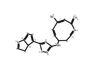 C=C1/C=C(C#N)\C=C/C(Nc2nsc(C3=CC=C4N=CCC43)n2)C/C=N\1